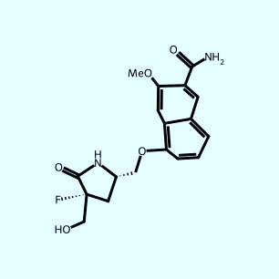 COc1cc2c(OC[C@@H]3C[C@@](F)(CO)C(=O)N3)cccc2cc1C(N)=O